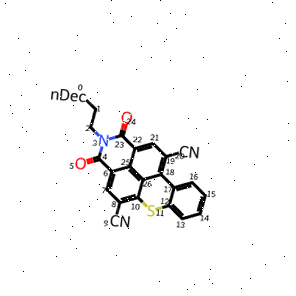 CCCCCCCCCCCCn1c(=O)c2cc(C#N)c3sc4ccccc4c4c(C#N)cc(c1=O)c2c34